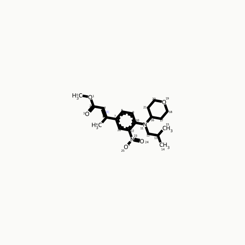 COC(=O)/C=C(\C)c1ccc(N(CC(C)C)C2CCOCC2)c([N+](=O)[O-])c1